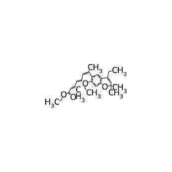 CCOC(=O)/C=C(C)/C=C/C=C(/C)c1cc2c(cc1OCC)OC(C)(C)C=C2CC